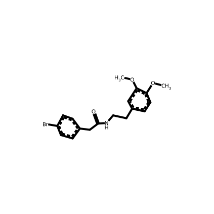 COc1ccc(CCNC(=O)Cc2ccc(Br)cc2)cc1OC